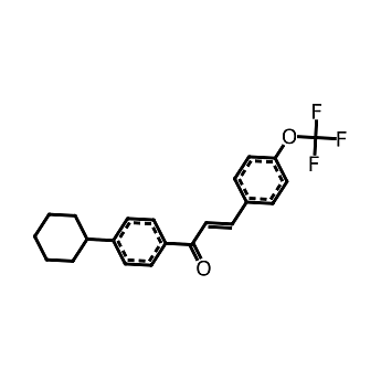 O=C(C=Cc1ccc(OC(F)(F)F)cc1)c1ccc(C2CCCCC2)cc1